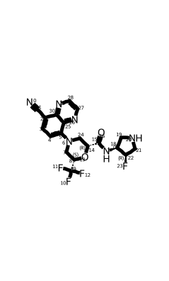 N#Cc1ccc(N2C[C@@H](C(F)(F)F)O[C@@H](C(=O)N[C@H]3CNC[C@H]3F)C2)c2nccnc12